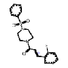 O=C(/C=C/c1ccccc1F)N1CCN(S(=O)(=O)c2ccccc2)CC1